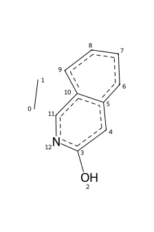 CC.Oc1cc2ccccc2cn1